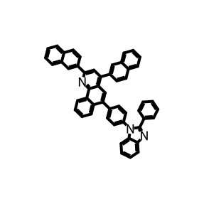 c1ccc(-c2nc3ccccc3n2-c2ccc(-c3cc4c(-c5ccc6ccccc6c5)cc(-c5ccc6ccccc6c5)nc4c4ccccc34)cc2)cc1